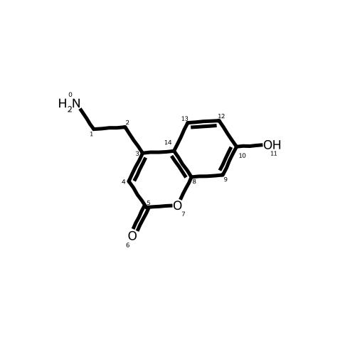 NCCc1cc(=O)oc2cc(O)ccc12